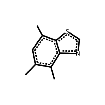 Cc1cc(C)c2scnc2c1C